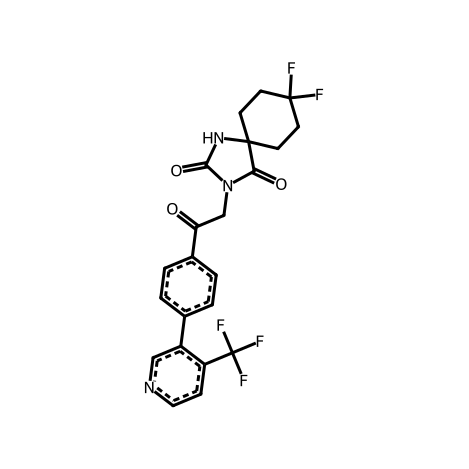 O=C(CN1C(=O)NC2(CCC(F)(F)CC2)C1=O)c1ccc(-c2cnccc2C(F)(F)F)cc1